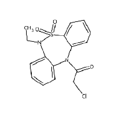 CCN1c2ccccc2N(C(=O)CCl)c2ccccc2S1(=O)=O